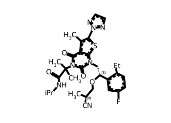 CCc1ccc(F)cc1[C@@H](Cn1c(=O)n(C(C)(C)C(=O)NC(C)C)c(=O)c2c(C)c(-n3nccn3)sc21)OC[C@H](C)C#N